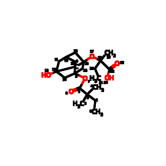 CCC(C)(C)C(=O)OC12CC3CC(O)(C1)CC(OC(C)(CC)C(=O)O)(C3)C2